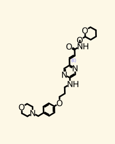 O=C(/C=C/c1cnc(NCCCOc2ccc(CN3CCOCC3)cc2)cn1)NOC1CCCCO1